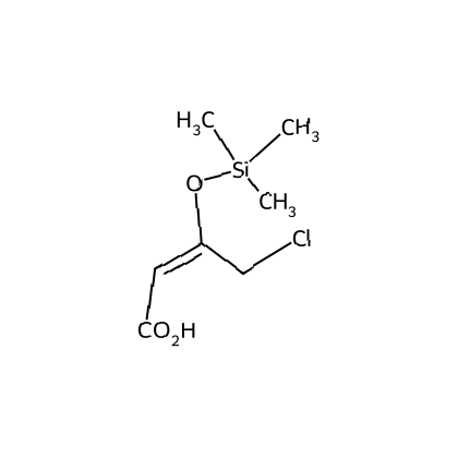 C[Si](C)(C)O/C(=C/C(=O)O)CCl